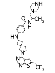 CC(CN1CCNCC1)NC(=O)c1ccc(NC2CC3(CCN(c4ncnc5sc(CC(F)(F)F)cc45)C3)C2)cc1